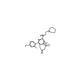 Cc1cc(F)ccc1-c1nc(NCCN2CCCCC2)nc2c1CNC[NH+]2[O-]